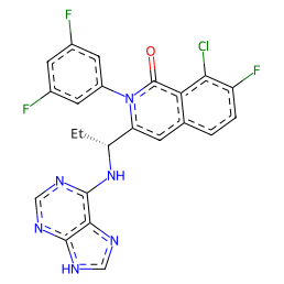 CC[C@@H](Nc1ncnc2[nH]cnc12)c1cc2ccc(F)c(Cl)c2c(=O)n1-c1cc(F)cc(F)c1